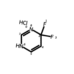 Cl.FC1(F)C=CNC=N1